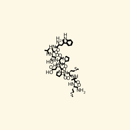 CSCC[C@H](NC(=O)C(C)(C)NC(=O)[C@H](CCSC)NC(=O)[C@@H]1CCCN1C(=O)[C@H](CCC(=O)O)NC(=O)[C@@H]1CCCN1C(=O)[C@@H](NC(=O)[C@H](CO)NC(=O)[C@H](CC(C)C)NC(=O)[C@@H](N)Cc1c[nH]c2ccccc12)[C@@H](C)O)C(N)=O